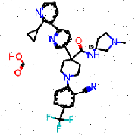 CN1CC[C@H](NC(=O)C2(c3ccc(-c4cccnc4C4CC4)nc3)CCN(c3ccc(C(F)(F)F)cc3C#N)CC2)C1.O=CO